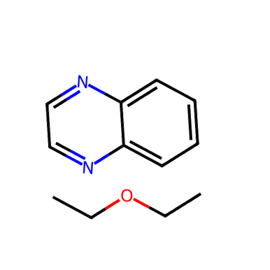 CCOCC.c1ccc2nccnc2c1